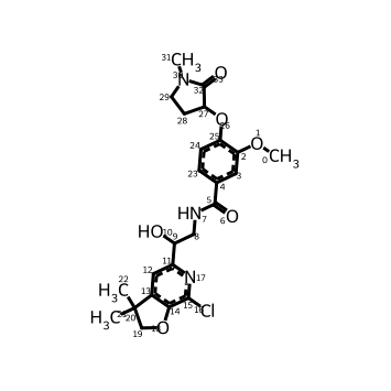 COc1cc(C(=O)NCC(O)c2cc3c(c(Cl)n2)OCC3(C)C)ccc1OC1CCN(C)C1=O